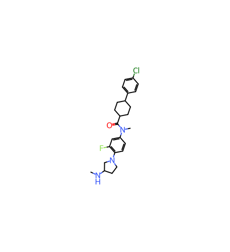 CNC1CCN(c2ccc(N(C)C(=O)C3CCC(c4ccc(Cl)cc4)CC3)cc2F)C1